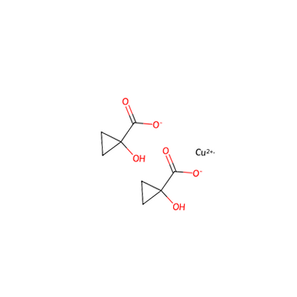 O=C([O-])C1(O)CC1.O=C([O-])C1(O)CC1.[Cu+2]